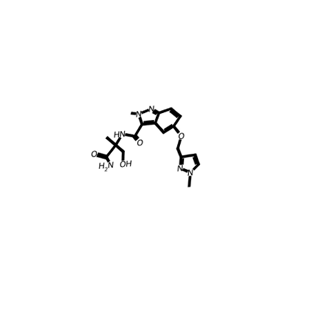 Cn1ccc(COc2ccc3nn(C)c(C(=O)NC(C)(CO)C(N)=O)c3c2)n1